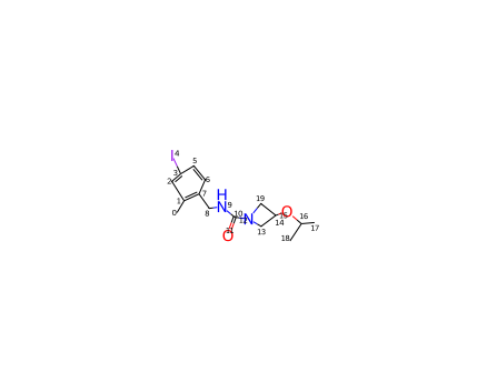 Cc1cc(I)ccc1CNC(=O)N1CC(OC(C)C)C1